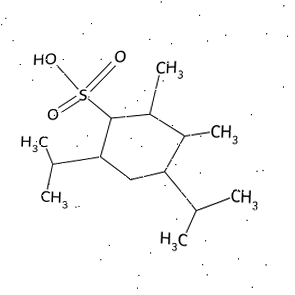 CC(C)C1CC(C(C)C)C(S(=O)(=O)O)C(C)C1C